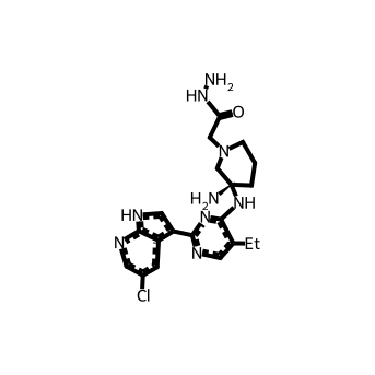 CCc1cnc(-c2c[nH]c3ncc(Cl)cc23)nc1N[C@@]1(N)CCCN(CC(=O)NN)C1